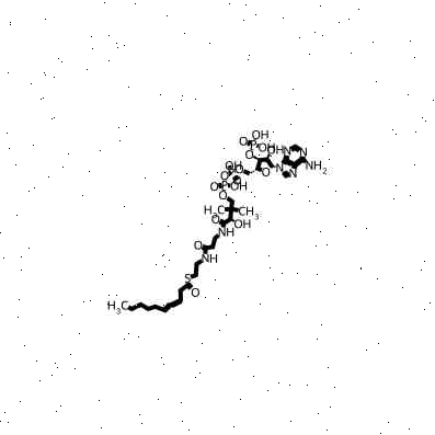 CCCCCC=C=CCC(=O)SCCNC(=O)CCNC(=O)[C@H](O)C(C)(C)COP(=O)(O)OP(=O)(O)OC[C@H]1O[C@@H](n2cnc3c(N)ncnc32)[C@H](O)[C@@H]1OP(=O)(O)O